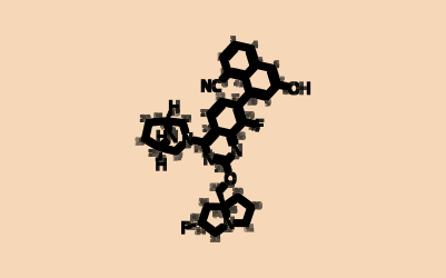 N#Cc1cccc2cc(O)cc(-c3ccc4c(N5C[C@H]6CC[C@@H](C5)N6)nc(OC[C@@]56CCCN5C[C@H](F)C6)nc4c3F)c12